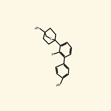 CCCc1ccc(-c2cccc(C34CCC(CCC)(CC3)CC4)c2F)cc1